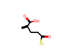 C=C(CCC(=O)S)C(=O)O